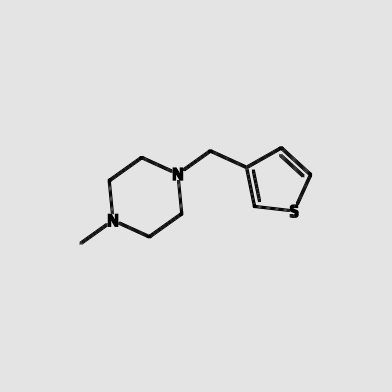 CN1CCN(Cc2ccsc2)CC1